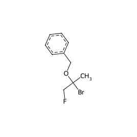 CC(Br)(CF)OCc1ccccc1